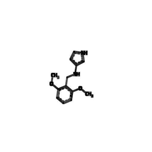 COc1cccc(OC)c1CNc1cc[nH]c1